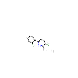 O=C(O)c1nc(-c2ccccc2F)ccc1F